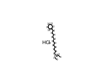 CCN(CC)CCCCCCCCCCCCC1CCCCC1.Cl